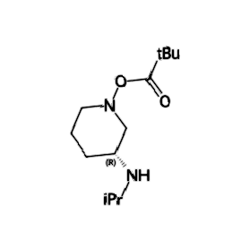 CC(C)N[C@@H]1CCCN(OC(=O)C(C)(C)C)C1